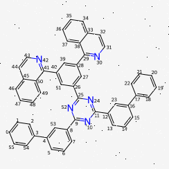 c1ccc(-c2cccc(-c3nc(-c4cccc(-c5ccccc5)c4)nc(-c4cc(-c5nccc6ccccc56)cc(-c5nccc6ccccc56)c4)n3)c2)cc1